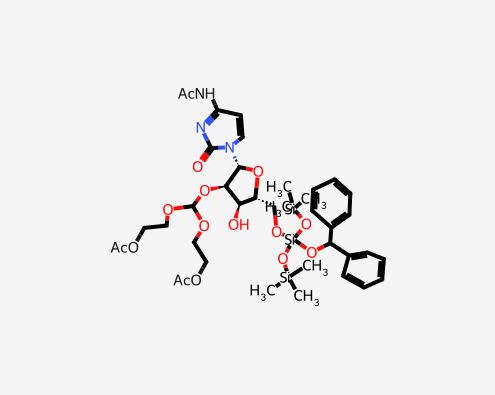 CC(=O)Nc1ccn([C@@H]2O[C@H](CO[Si](OC(c3ccccc3)c3ccccc3)(O[Si](C)(C)C)O[Si](C)(C)C)[C@@H](O)[C@H]2OC(OCCOC(C)=O)OCCOC(C)=O)c(=O)n1